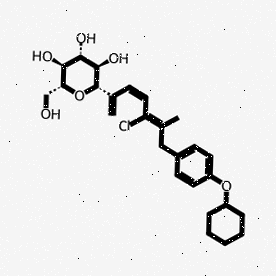 C=C(/C=C\C(Cl)=C(/C)Cc1ccc(OC2CCCCC2)cc1)[C@@H]1O[C@H](CO)[C@@H](O)[C@H](O)[C@H]1O